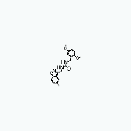 COc1ccc(OC)c(CNC(=O)NCc2noc3ccc(C)cc23)c1